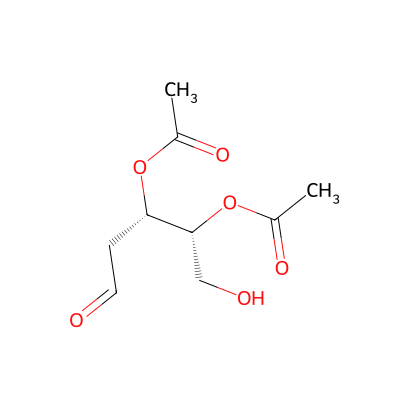 CC(=O)O[C@@H](CC=O)[C@@H](CO)OC(C)=O